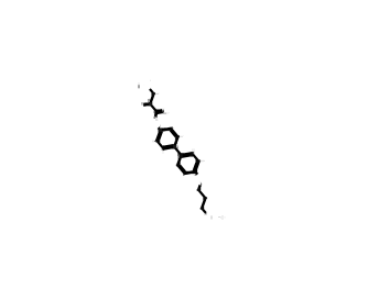 CCCCCCCCCCCCCOc1ccc(-c2ccc(OC(=O)C(F)CC(C)C)cc2)cc1